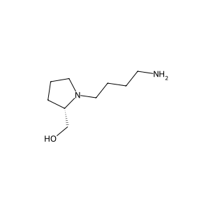 NCCCCN1CCC[C@H]1CO